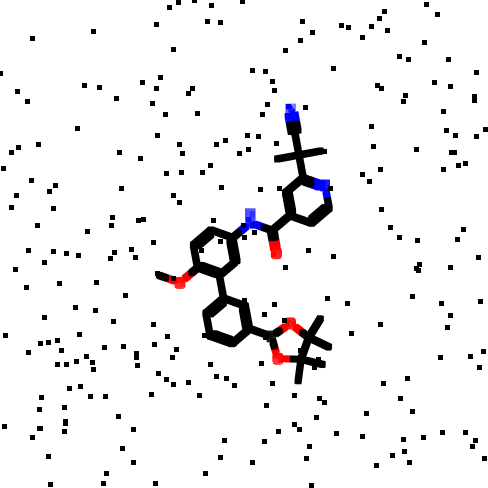 COc1ccc(NC(=O)c2ccnc(C(C)(C)C#N)c2)cc1-c1cccc(B2OC(C)(C)C(C)(C)O2)c1